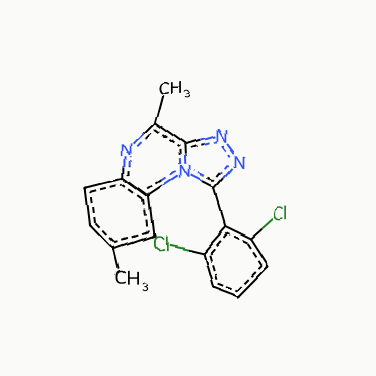 Cc1ccc2nc(C)c3nnc(-c4c(Cl)cccc4Cl)n3c2c1